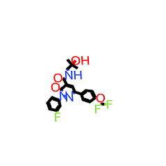 CC(C)(O)CNC(=O)c1cc(-c2ccc(OC(F)F)cc2)nn(-c2cccc(F)c2)c1=O